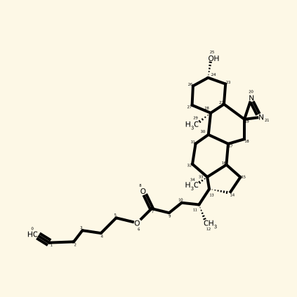 C#CCCCCOC(=O)CC[C@@H](C)[C@H]1CCC2C3CC4(N=N4)C4C[C@@H](O)CC[C@]4(C)C3CC[C@@]21C